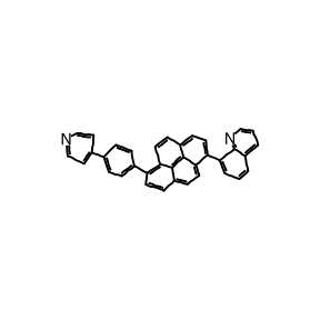 c1cnc2c(-c3ccc4ccc5c(-c6ccc(-c7ccncc7)cc6)ccc6ccc3c4c65)cccc2c1